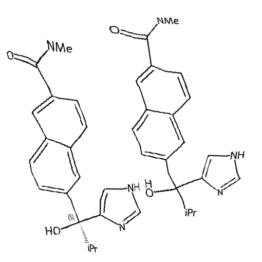 CNC(=O)c1ccc2cc(C(O)(c3c[nH]cn3)C(C)C)ccc2c1.CNC(=O)c1ccc2cc([C@](O)(c3c[nH]cn3)C(C)C)ccc2c1